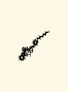 CCCCCCCCN1C=CC(/C=C/C(=O)NNC(=O)c2cc3ccccc3[nH]2)=CC1